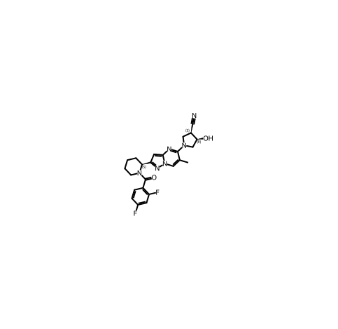 Cc1cn2nc([C@@H]3CCCCN3C(=O)c3ccc(F)cc3F)cc2nc1N1C[C@@H](C#N)[C@@H](O)C1